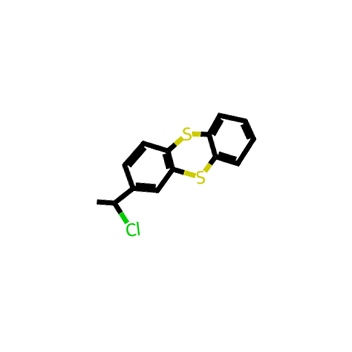 CC(Cl)c1ccc2c(c1)Sc1ccccc1S2